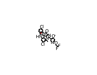 COc1cc(OCC(F)F)ncc1-c1nc2c(n1C(C)C)C1(C(=O)Nc3cc(Cl)ccc31)N(c1cc(Cl)ccc1C)C2=O